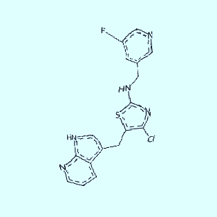 Fc1cncc(CNc2nc(Cl)c(Cc3c[nH]c4ncccc34)s2)c1